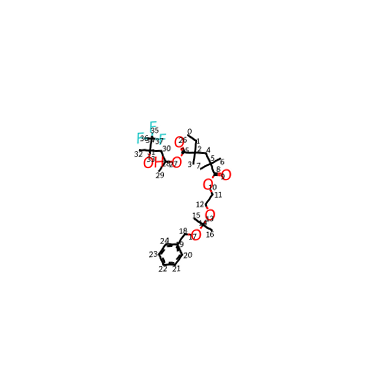 CCC(C)(CC(C)(C)C(=O)OCCOC(C)(C)OCc1ccccc1)C(=O)OC(C)CC(C)(O)C(F)(F)F